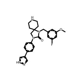 COc1cc(F)cc(CN2C(=O)N(c3ccc(-c4cn[nH]c4)cc3)CC23CCNCC3)c1